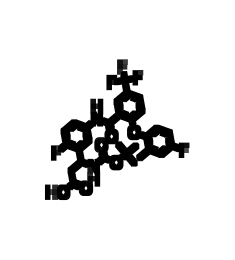 Cc1cc(F)ccc1Oc1ccc(C(F)(F)F)cc1C(=O)Nc1ccc(F)c(C(CC(=O)O)NC(=O)OC(C)(C)C)c1